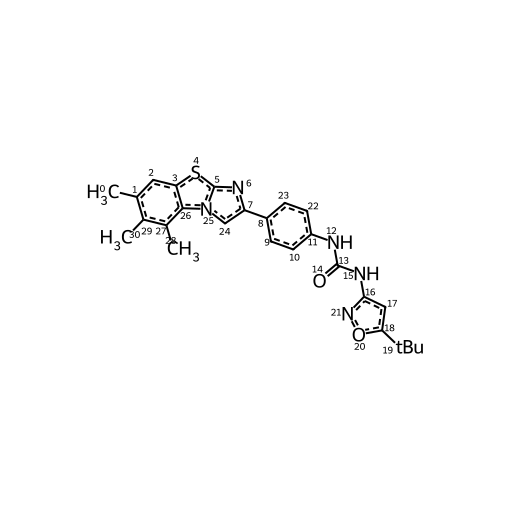 Cc1cc2sc3nc(-c4ccc(NC(=O)Nc5cc(C(C)(C)C)on5)cc4)cn3c2c(C)c1C